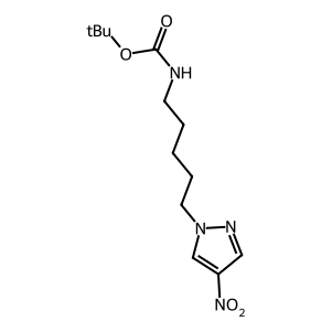 CC(C)(C)OC(=O)NCCCCCn1cc([N+](=O)[O-])cn1